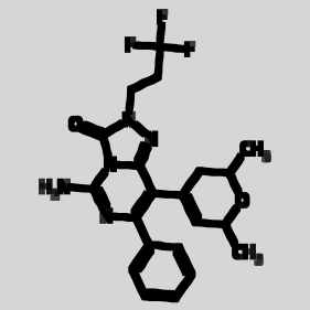 CC1C=C(c2c(-c3ccccc3)nc(N)n3c(=O)n(CCC(F)(F)F)nc23)CC(C)O1